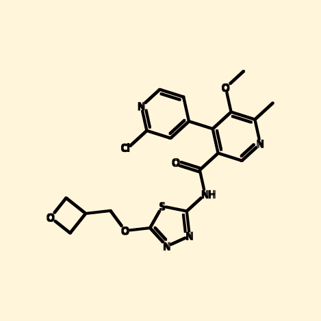 COc1c(C)ncc(C(=O)Nc2nnc(OCC3COC3)s2)c1-c1ccnc(Cl)c1